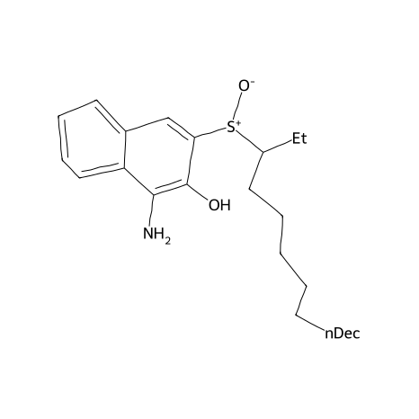 CCCCCCCCCCCCCCCC(CC)[S+]([O-])c1cc2ccccc2c(N)c1O